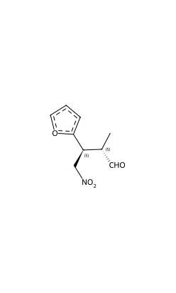 C[C@H](C=O)[C@@H](C[N+](=O)[O-])c1ccco1